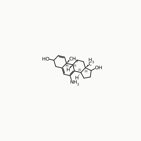 C[C@]12C=CC(O)CC1=CC(N)=C1[C@H]2CC[C@]2(C)C(O)CC[C@@H]12